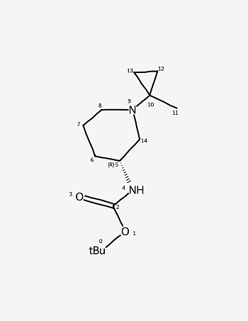 CC(C)(C)OC(=O)N[C@@H]1CCCN(C2(C)CC2)C1